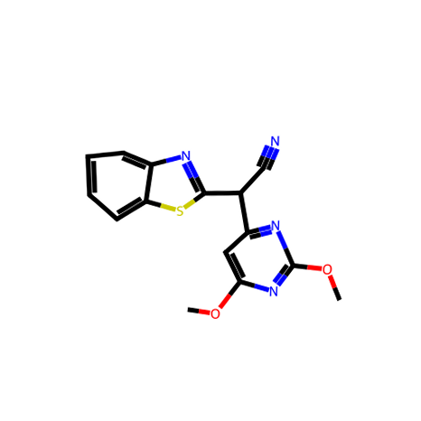 COc1cc(C(C#N)c2nc3ccccc3s2)nc(OC)n1